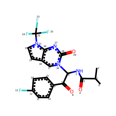 CC(C)C(=O)NC(C(=O)c1ccc(F)cc1)n1cc2ccn(C(F)(F)F)c2nc1=O